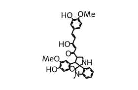 COc1ccc(C=CC(O)=CC(=O)C2CNC3(C(=O)N(C)c4ccccc43)C2c2ccc(O)c(OC)c2)cc1O